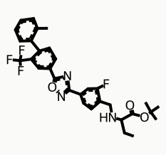 CCC(NCc1ccc(-c2noc(-c3ccc(-c4ccccc4C)c(C(F)(F)F)c3)n2)cc1F)C(=O)OC(C)(C)C